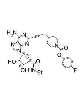 CCNC(=O)[C@H]1O[C@@H](n2cnc3c(N)nc(C#CCC4CCN(C(=O)Oc5ccc(F)cc5)CC4)nc32)C(O)[C@H]1O